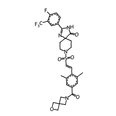 Cc1cc(C(=O)N2CC3(COC3)C2)cc(C)c1C=CS(=O)(=O)N1CCC2(CC1)N=C(c1ccc(F)c(C(F)(F)F)c1)NC2=O